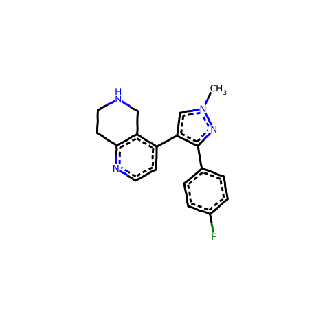 Cn1cc(-c2ccnc3c2CNCC3)c(-c2ccc(F)cc2)n1